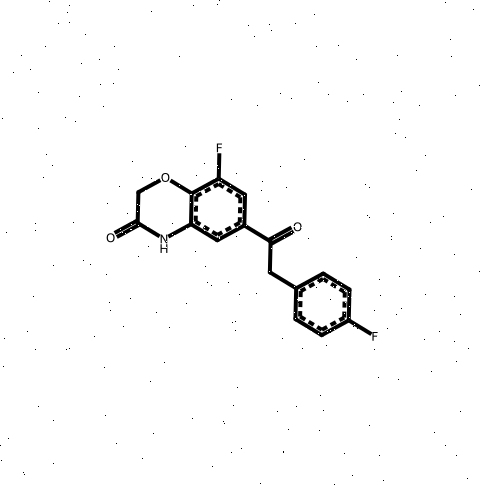 O=C1COc2c(F)cc(C(=O)Cc3ccc(F)cc3)cc2N1